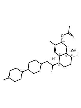 CC(=O)O[C@@H]1[CH][C@@]2(O)[C@H](C)CC[C@@H](C(C)CN3CCC(N4CCN(C)CC4)CC3)[C@H]2C=C1C